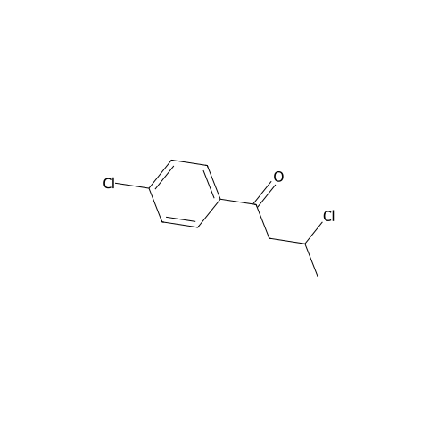 CC(Cl)CC(=O)c1ccc(Cl)cc1